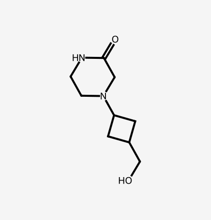 O=C1CN(C2CC(CO)C2)CCN1